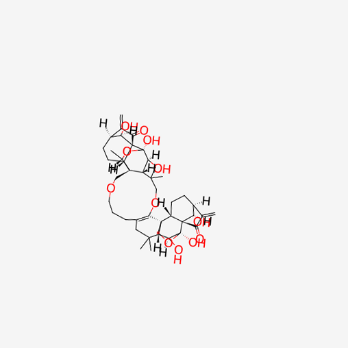 C=C1C(=O)[C@]23[C@H](O)[C@H]1CC[C@H]2[C@@]12CO[C@]3(O)[C@@H](O)[C@@H]1C(C)(C)CC1=C2OCC(C)(C)[C@H]2[C@H](O)[C@@]3(O)O[C@@H](C)[C@]2(COCCC1)[C@@H]1CC[C@H]2C(=C)C(=O)[C@]13[C@@H]2O